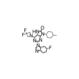 CC1CCC(n2c(=O)[nH]c3c(N4CC(F)(F)C4)nc(-n4cnc5ccc(F)cc54)nc32)CC1